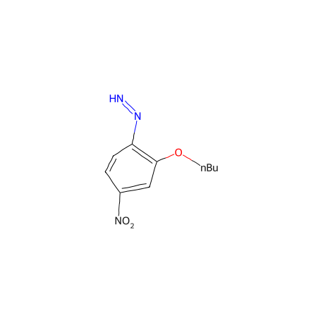 CCCCOc1cc([N+](=O)[O-])ccc1N=N